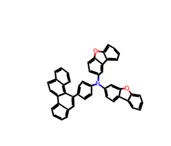 c1ccc2c(c1)cc(-c1ccc(N(c3ccc4c(c3)oc3ccccc34)c3ccc4oc5ccccc5c4c3)cc1)c1c3ccccc3ccc21